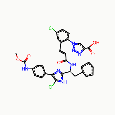 COC(=O)Nc1ccc(-c2nc([C@H](Cc3ccccc3)NC(=O)C=Cc3cc(Cl)ccc3-n3cc(C(=O)O)nn3)[nH]c2Cl)cc1